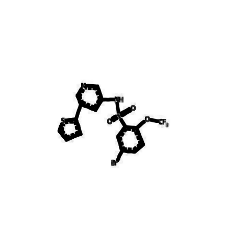 O=S(=O)(Nc1cncc(-c2cccs2)c1)c1cc(Br)ccc1OC(F)(F)F